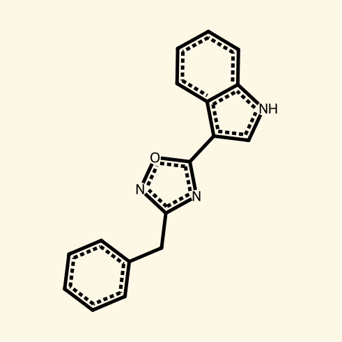 c1ccc(Cc2noc(-c3c[nH]c4ccccc34)n2)cc1